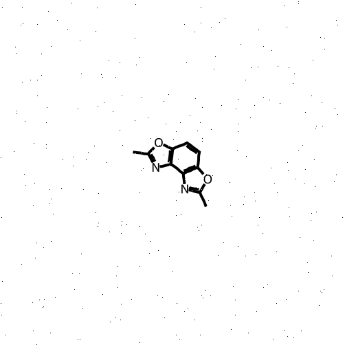 Cc1nc2c(ccc3oc(C)nc32)o1